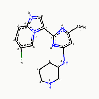 COc1cc(NC2CCCNC2)nc(-c2cnc3ccc(F)cn23)n1